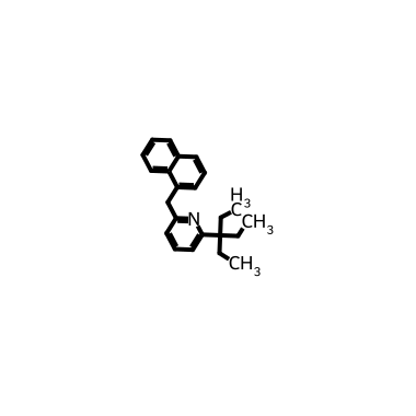 CCC(CC)(CC)c1cccc(Cc2cccc3ccccc23)n1